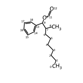 CCCCCCCC(C)C(OC=O)c1ccccc1